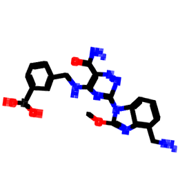 COc1nc2c(CN)cccc2n1-c1nnc(C(N)=O)c(NCc2cccc(B(O)O)c2)n1